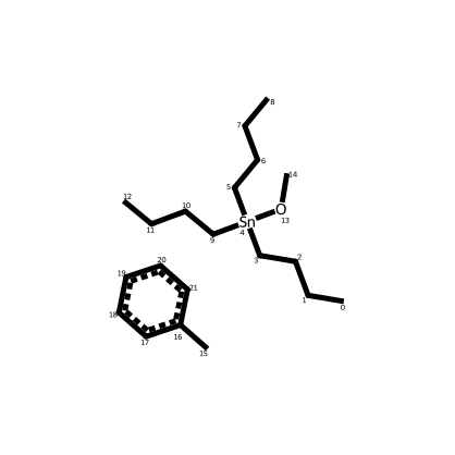 CCC[CH2][Sn]([CH2]CCC)([CH2]CCC)[O]C.Cc1ccccc1